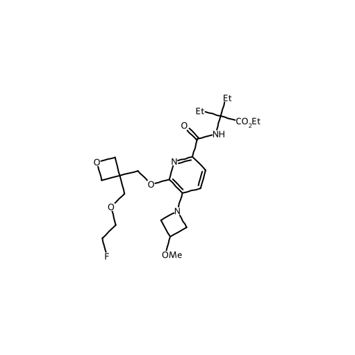 CCOC(=O)C(CC)(CC)NC(=O)c1ccc(N2CC(OC)C2)c(OCC2(COCCF)COC2)n1